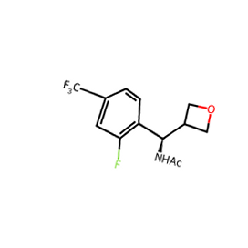 CC(=O)N[C@@H](c1ccc(C(F)(F)F)cc1F)C1COC1